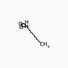 CCCCCCCCCCCCCCCCNC1=CC(=O)C(=O)C=C1